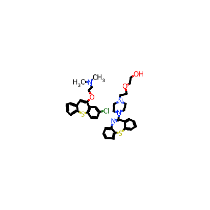 CN(C)CCOC1=Cc2ccccc2Sc2ccc(Cl)cc21.OCCOCCN1CCN(C2=Nc3ccccc3Sc3ccccc32)CC1